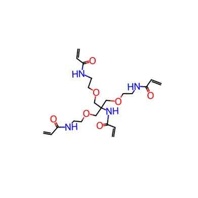 C=CC(=O)NCCOCC(COCCNC(=O)C=C)(COCCNC(=O)C=C)NC(=O)C=C